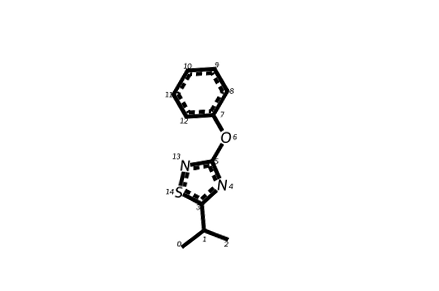 CC(C)c1nc(Oc2ccccc2)ns1